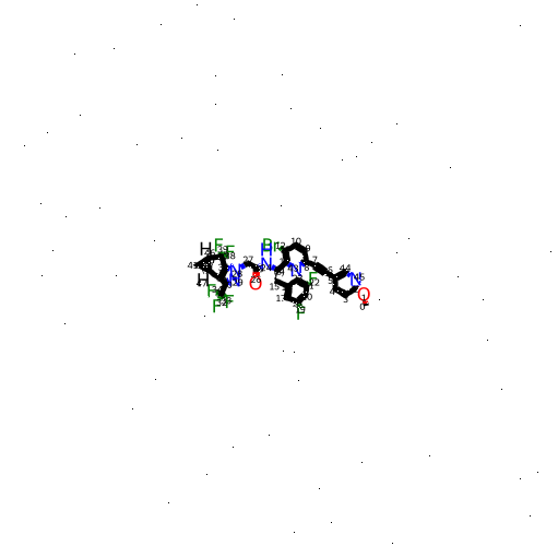 COc1ccc(C#Cc2ccc(Br)c([C@H](Cc3cc(F)cc(F)c3)NC(=O)Cn3nc(C(F)(F)F)c4c3C(F)(F)[C@@H]3C[C@H]43)n2)cn1